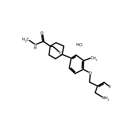 CNC(=O)C12CCC(c3ccc(OCC(=CF)CN)c(C)c3)(CC1)CC2.Cl